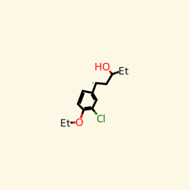 CCOc1ccc([CH]CC(O)CC)cc1Cl